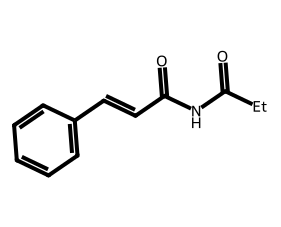 CCC(=O)NC(=O)/C=C/c1ccccc1